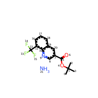 CC(C)(C)OC(=O)c1cnc2c(C(F)(F)F)cccc2c1.N